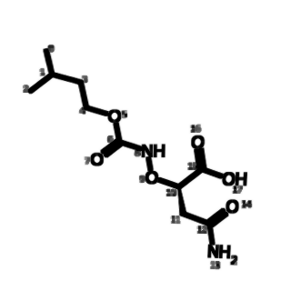 CC(C)CCOC(=O)NO[C@H](CC(N)=O)C(=O)O